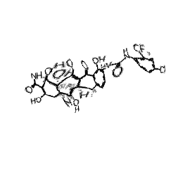 C[C@H]1c2ccc(NC(=O)Nc3ccc(Cl)cc3C(F)(F)F)c(O)c2C(=O)C2=C(O)[C@]3(O)C(=O)C(C(N)=O)=C(O)C[C@@H]3[C@@H](O)[C@@H]21